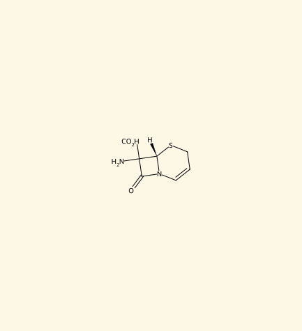 NC1(C(=O)O)C(=O)N2C=CCS[C@H]21